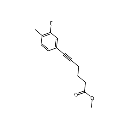 COC(=O)CCCC#Cc1ccc(C)c(F)c1